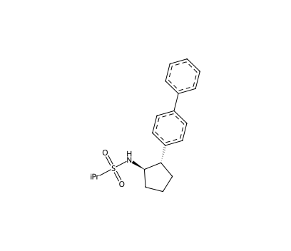 CC(C)S(=O)(=O)N[C@@H]1CCC[C@H]1c1ccc(-c2ccccc2)cc1